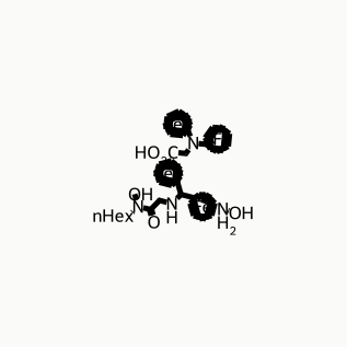 CCCCCCN(O)C(=O)CNC([C]12[CH]3[CH]4[CH]5[CH]1[Fe]45321678[CH]2[CH]1[CH]6[CH]7[CH]28)[C]12[CH]3[CH]4[CH]5[CH]1[Fe]45321678[CH]2[CH]1[CH]6[CH]7[CH]28.NO.O=C(O)CN([C]12[CH]3[CH]4[CH]5[CH]1[Fe]45321678[CH]2[CH]1[CH]6[CH]7[CH]28)[C]12[CH]3[CH]4[CH]5[CH]1[Fe]45321678[CH]2[CH]1[CH]6[CH]7[CH]28